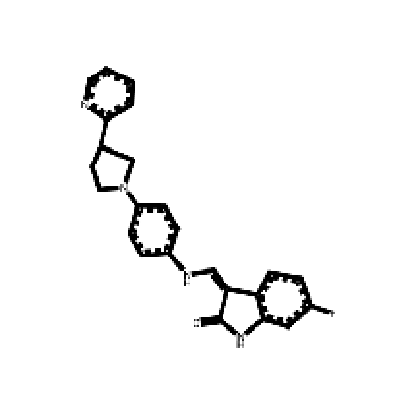 O=C1Nc2cc(F)ccc2C1=CNc1ccc(N2CCC(c3ccccn3)C2)cc1